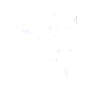 O=C(O)NCCc1cc(Sc2ccc(Cl)nc2)n(-c2cc(F)ccc2F)n1